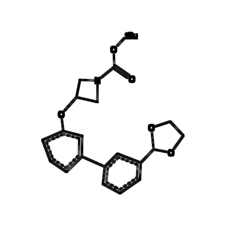 CC(C)(C)OC(=O)N1CC(Oc2cccc(-c3cccc(C4OCCO4)c3)c2)C1